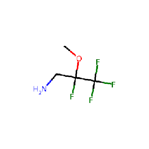 COC(F)(CN)C(F)(F)F